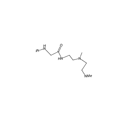 CNCCN(C)CCNC(=O)CNC(C)C